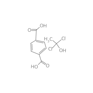 CC(O)(Cl)Cl.O=C(O)c1ccc(C(=O)O)cc1